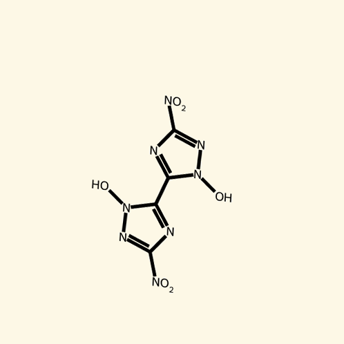 O=[N+]([O-])c1nc(-c2nc([N+](=O)[O-])nn2O)n(O)n1